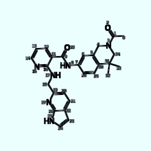 CC(=O)N1Cc2cc(NC(=O)c3cccnc3NCc3ccc4cc[nH]c4n3)ccc2C(C)(C)C1